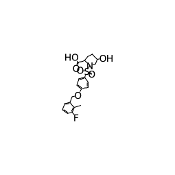 Cc1c(F)cccc1COc1ccc(S(=O)(=O)N2CC(O)CCC2C(=O)O)cc1